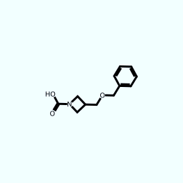 O=C(O)N1CC(COCc2ccccc2)C1